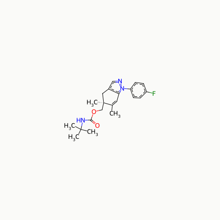 CC1=Cc2c(cnn2-c2ccc(F)cc2)C[C@]1(C)COC(=O)NC(C)(C)C